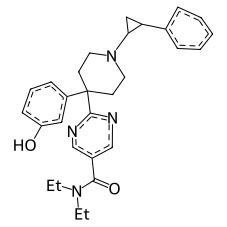 CCN(CC)C(=O)c1cnc(C2(c3cccc(O)c3)CCN(C3CC3c3ccccc3)CC2)nc1